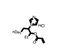 C=CC(=O)OC(CC)C(CCCCCCCCCCC)n1ccnc1.Cl